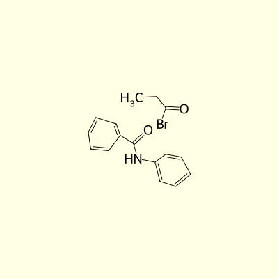 CCC(=O)Br.O=C(Nc1ccccc1)c1ccccc1